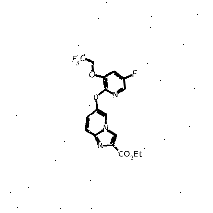 CCOC(=O)c1cn2cc(Oc3ncc(F)cc3OCC(F)(F)F)ccc2n1